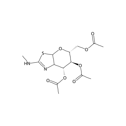 CNC1=NC2C(O[C@H](COC(C)=O)[C@@H](OC(C)=O)[C@@H]2OC(C)=O)S1